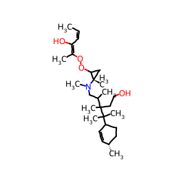 C/C=C\C(O)=C(\C)OOC1C[C@]1(C)N(C)CC(C)C(C)(CCO)C(C)(C)C1C=C[C@@H](C)CC1